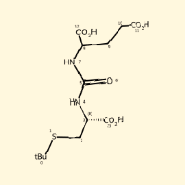 CC(C)(C)SC[C@H](NC(=O)NC(CCC(=O)O)C(=O)O)C(=O)O